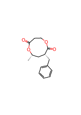 C[C@H]1C[C@@H](Cc2ccccc2)C(=O)OCCC(=O)O1